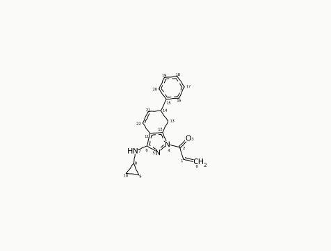 C=CC(=O)n1nc(NC2CC2)c2c1CC(c1ccccc1)C=C2